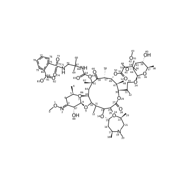 CON=C1C[C@@H](C)O[C@@H](OC2C(C)C(O[C@H]3C[C@H](C)N(C)C[C@H](C)O3)C(C)C(=O)O[C@H](C(C)CO[C@@H]3O[C@H](C)[C@@H](O)[C@@H](OC)[C@H]3OC)[C@H](C)[C@@H](OC(=O)CC(C)C)[C@@H](C)C(=O)[C@@](C)(OC(=O)NC(C)(C)CNS(=O)(=O)c3ccccc3[N+](=O)[O-])C[C@@H]2C)[C@@H]1O